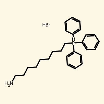 Br.NCCCCCCCCC[PH](c1ccccc1)(c1ccccc1)c1ccccc1